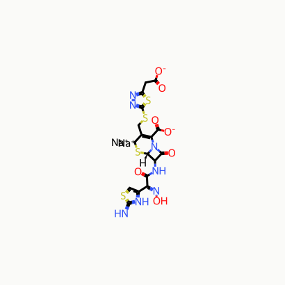 N=c1[nH]c(C(=NO)C(=O)NC2C(=O)N3C(C(=O)[O-])=C(CSc4nnc(CC(=O)[O-])s4)CS[C@@H]23)cs1.[Na+].[Na+]